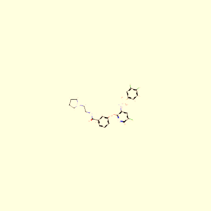 O=C(NCCN1CCCC1)c1cccc(Oc2ncc(Cl)cc2NS(=O)(=O)c2ccc(Cl)c(Cl)c2)c1